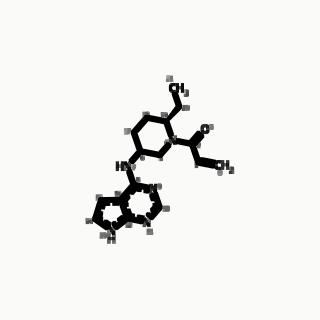 C=CC(=O)N1CC(Nc2ncnc3[nH]ccc23)CC[C@H]1CC